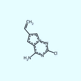 C=Cc1cc2c(N)nc(Cl)nn2c1